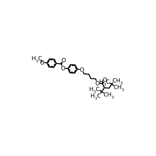 COc1ccc(C(=O)Oc2ccc(OCCCCOC(=O)C(CC(C)(C)C)C(C)(C)C)cc2)cc1